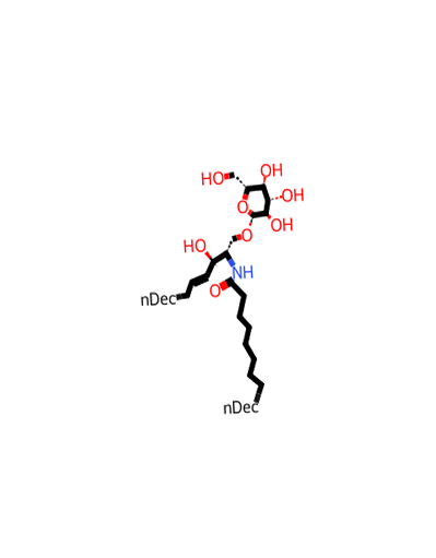 CCCCCCCCCCC/C=C/[C@@H](O)[C@H](CO[C@@H]1O[C@H](CO)[C@H](O)[C@H](O)[C@H]1O)NC(=O)CCCCCCCCCCCCCCCCC